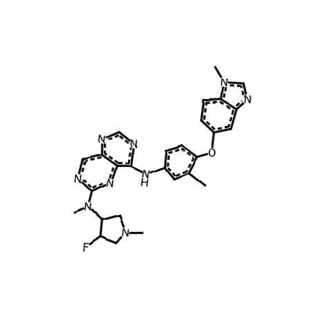 Cc1cc(Nc2ncnc3cnc(N(C)C4CN(C)CC4F)nc23)ccc1Oc1ccc2c(c1)ncn2C